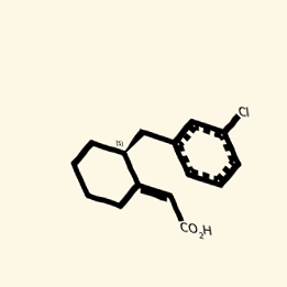 O=C(O)C=C1CCCC[C@H]1Cc1cccc(Cl)c1